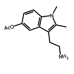 CC(=O)Oc1ccc2c(c1)c(CCN)c(C)n2C